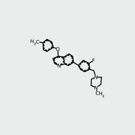 Cc1ccc(Oc2ccnc3cc(-c4ccc(CN5CCN(C)CC5)c(F)c4)ccc23)cc1